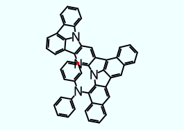 c1ccc(N(c2ccccc2)c2c3ccccc3cc3c4cc5ccccc5c5c6cc7c(nc6n(c23)c45)c2cccc3c4ccccc4n7c32)cc1